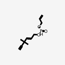 C#CC(C)(C)C=CCO[PH](=O)OCC=C